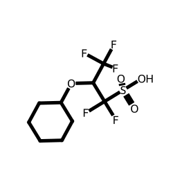 O=S(=O)(O)C(F)(F)C(OC1CCCCC1)C(F)(F)F